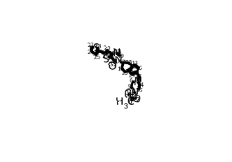 CS(=O)(=O)N1CCN(Cc2ccc3c(c2)CC[C@H](n2cnc4cc(-c5cccs5)sc4c2=O)C3)CC1